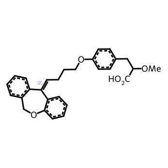 COC(Cc1ccc(OCCC/C=C2/c3ccccc3COc3ccccc32)cc1)C(=O)O